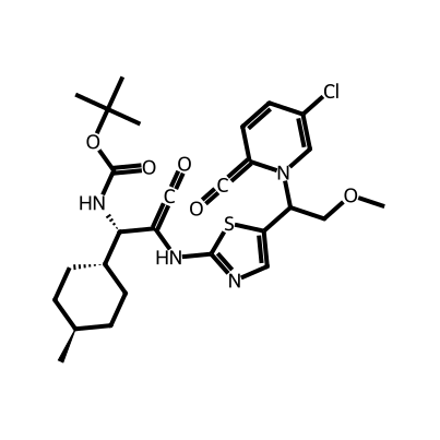 COCC(c1cnc(NC(=C=O)[C@@H](NC(=O)OC(C)(C)C)[C@H]2CC[C@H](C)CC2)s1)N1C=C(Cl)C=CC1=C=O